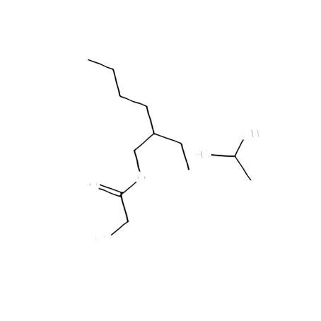 CC(O)S.CCCCC(CC)COC(=O)CS